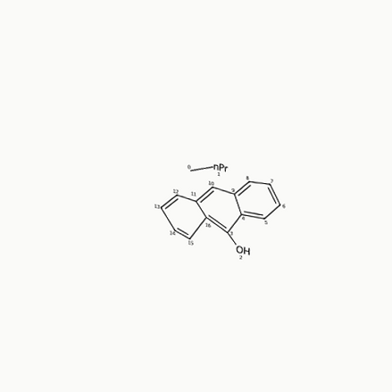 CCCC.Oc1c2ccccc2cc2ccccc12